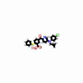 O=C(c1ccc(Sc2ccccc2)c(C(=O)O)c1)c1ccc(N(CC2CC2)c2ccc(Cl)cc2)cn1